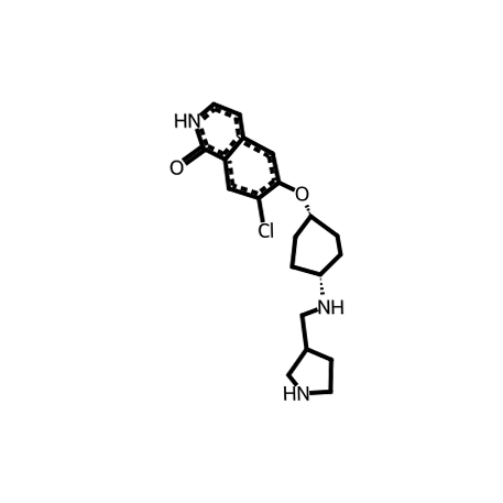 O=c1[nH]ccc2cc(O[C@H]3CC[C@@H](NCC4CCNC4)CC3)c(Cl)cc12